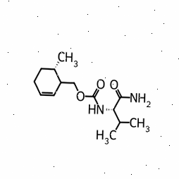 CC(C)[C@H](NC(=O)OCC1C=CCC[C@@H]1C)C(N)=O